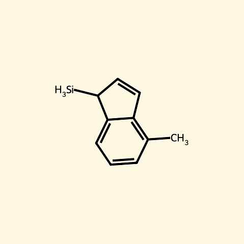 Cc1cccc2c1C=CC2[SiH3]